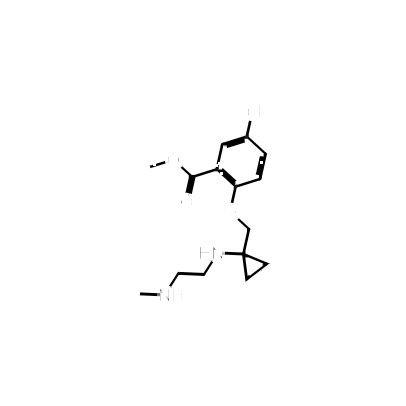 CNCCNC1(COc2ccc(Cl)cc2C(=O)OC)CC1